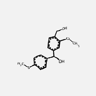 COc1cc(C(O)c2ccc(SC)cc2)ccc1CO